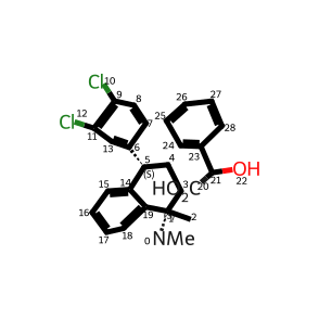 CN[C@@]1(C)CC[C@@H](c2ccc(Cl)c(Cl)c2)c2ccccc21.O=C(O)C(O)c1ccccc1